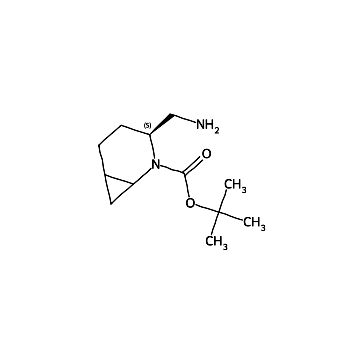 CC(C)(C)OC(=O)N1C2CC2CC[C@H]1CN